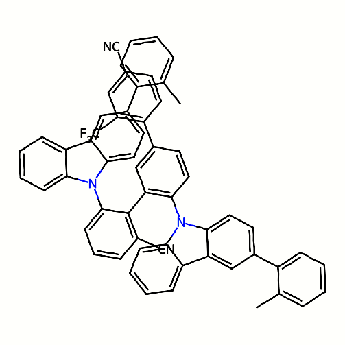 Cc1ccccc1-c1ccc2c(c1)c1ccccc1n2-c1ccc(-c2ccc(C#N)cc2C(F)(F)F)cc1-c1c(C#N)cccc1-n1c2ccccc2c2cc(-c3ccccc3C)ccc21